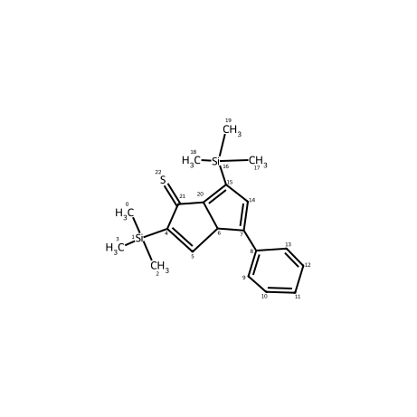 C[Si](C)(C)C1=CC2C(c3ccccc3)=CC([Si](C)(C)C)=C2C1=S